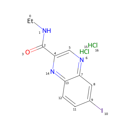 CCNC(=O)c1cnc2cc(I)ccc2n1.Cl.Cl